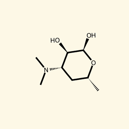 C[C@@H]1C[C@H](N(C)C)[C@@H](O)[C@@H](O)O1